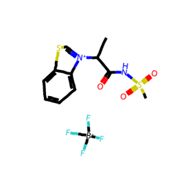 CC(C(=O)NS(C)(=O)=O)[n+]1csc2ccccc21.F[B-](F)(F)F